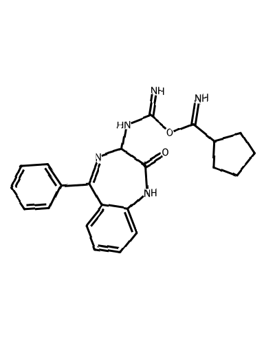 N=C(NC1N=C(c2ccccc2)c2ccccc2NC1=O)OC(=N)C1CCCC1